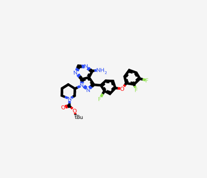 CC(C)(C)OC(=O)N1CCCC(n2nc(-c3ccc(Oc4cccc(F)c4F)cc3F)c3c(N)ncnc32)C1